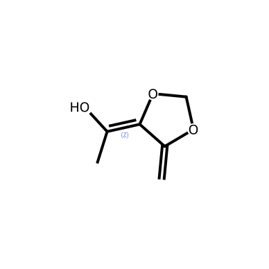 C=C1OCO/C1=C(/C)O